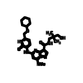 CNc1cc(Nc2ccc(COC3CCCCC3)[nH]c2=O)nc2c(C(=O)NCC(C)(C)CO)cnn12